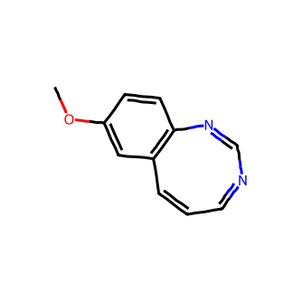 COc1ccc2c(c1)\C=C/C=N\C=N/2